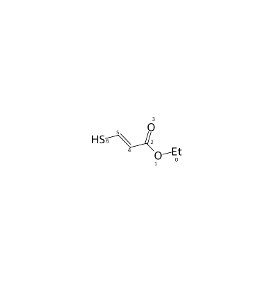 CCOC(=O)C=CS